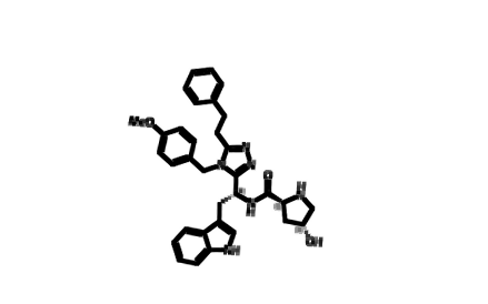 COc1ccc(Cn2c(CCc3ccccc3)nnc2[C@@H](Cc2c[nH]c3ccccc23)NC(=O)[C@@H]2C[C@@H](O)CN2)cc1